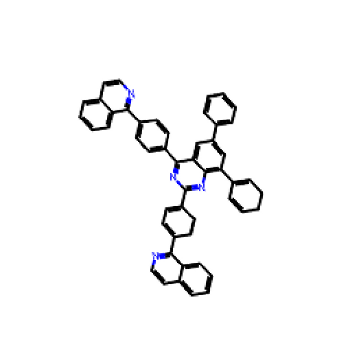 C1=CC(c2cc(-c3ccccc3)cc3c(-c4ccc(-c5nccc6ccccc56)cc4)nc(C4=CC=C(c5nccc6ccccc56)CC4)nc23)=CCC1